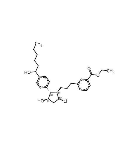 CCCCCC(O)c1ccc([C@@H]2[C@@H](CCCc3cccc(C(=O)OCC)c3)[C@@H](Cl)C[C@H]2O)cc1